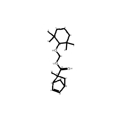 CC1(C)CCCC(C)(C)C1OCOC(=O)C1(C)CC2C=CC1C2